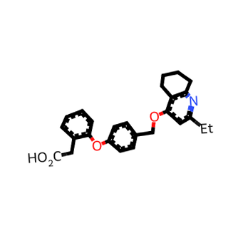 CCc1cc(OCc2ccc(Oc3ccccc3CC(=O)O)cc2)c2c(n1)CCCC2